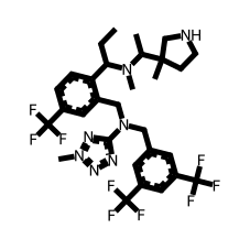 CCC(c1ccc(C(F)(F)F)cc1CN(Cc1cc(C(F)(F)F)cc(C(F)(F)F)c1)c1nnn(C)n1)N(C)C(C)C1(C)CCNC1